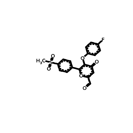 CS(=O)(=O)c1ccc(-c2oc(C=O)cc(=O)c2Oc2ccc(F)cc2)cc1